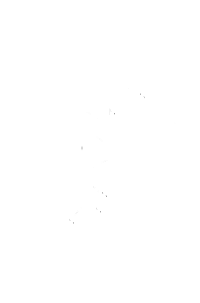 CCN1CCCC1CNC(=O)c1ccc(-c2nn(C)c(=NC3CCCCC3)s2)cc1